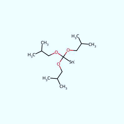 CC(C)CO[C]([Sn])(OCC(C)C)OCC(C)C